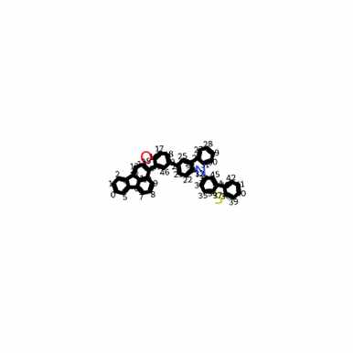 c1ccc2c(c1)-c1cccc3c1c-2cc1oc2ccc(-c4ccc5c(c4)c4ccccc4n5-c4ccc5sc6ccccc6c5c4)cc2c13